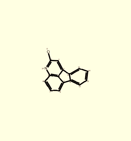 Clc1cc2c3c(cccc3n1)-c1ccccc1-2